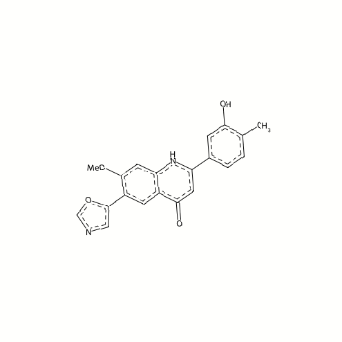 COc1cc2[nH]c(-c3ccc(C)c(O)c3)cc(=O)c2cc1-c1cnco1